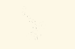 Bc1c(B)c(B)c(N(c2ccc(-c3c(B)c(B)c(B)c4c(B)c(B)c(B)c(B)c34)cc2)c2ccc3c(c2)C(C)(C)c2cc(-c4cccc5c4oc4ccccc45)ccc2-3)c(B)c1B